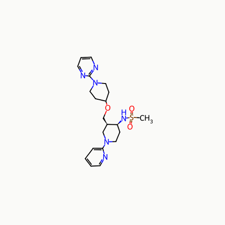 CS(=O)(=O)N[C@H]1CCN(c2ccccn2)C[C@H]1COC1CCN(c2ncccn2)CC1